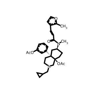 CC(=O)Oc1cccc([C@@]23CCN(CC4CC4)C[C@@]2(OC(C)=O)CC[C@H](N(C)C(=O)/C=C/c2ccoc2C)C3)c1